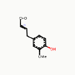 COc1cc(C/C=C/C=O)ccc1O